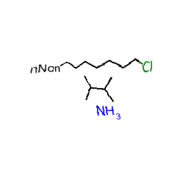 CC(C)C(C)C.CCCCCCCCCCCCCCCCCl.N